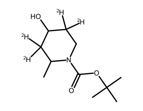 [2H]C1([2H])CN(C(=O)OC(C)(C)C)C(C)C([2H])([2H])C1O